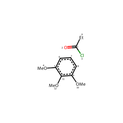 CCC(=O)Cl.COc1cccc(OC)c1OC